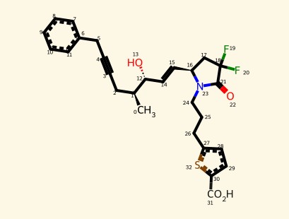 C[C@@H](CC#CCc1ccccc1)[C@H](O)/C=C/[C@H]1CC(F)(F)C(=O)N1CCCc1ccc(C(=O)O)s1